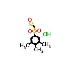 Cc1cc(S(=O)(=O)C[S+]=O)cc(C)c1C.Cl